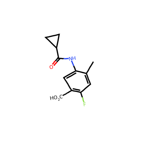 Cc1cc(F)c(C(=O)O)cc1NC(=O)C1CC1